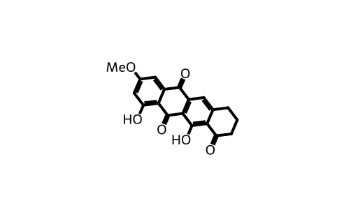 COc1cc(O)c2c(c1)C(=O)c1cc3c(c(O)c1C2=O)C(=O)CCC3